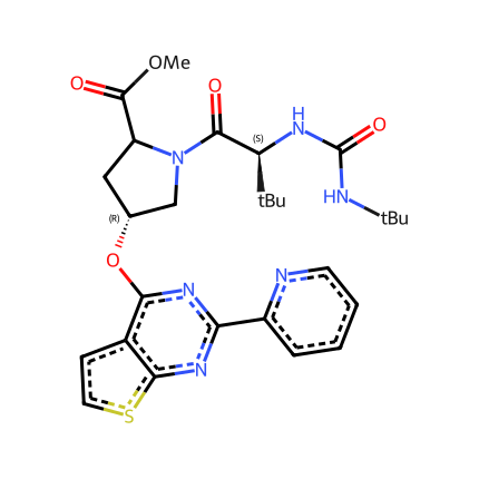 COC(=O)C1C[C@@H](Oc2nc(-c3ccccn3)nc3sccc23)CN1C(=O)[C@@H](NC(=O)NC(C)(C)C)C(C)(C)C